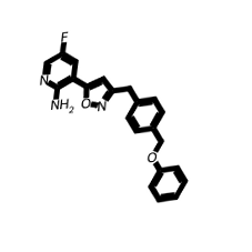 Nc1ncc(F)cc1-c1cc(Cc2ccc(COc3ccccc3)cc2)no1